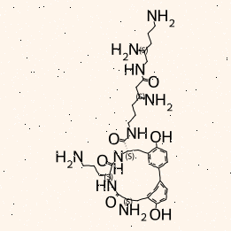 NCCC[C@H](N)CNC(=O)C[C@@H](N)CCCNC(=O)[C@@H]1Cc2cc(ccc2O)-c2ccc(O)c(c2)C[C@H](N)C(=O)N[C@@H](CCCN)C(=O)N1